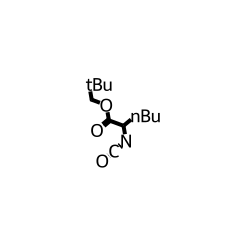 CCCCC(N=C=O)C(=O)OCC(C)(C)C